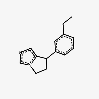 CCc1cccc(C2CCn3cncc32)c1